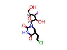 O=c1[nH]c(=O)n([C@H]2O[C@@H](CO)C(I)C2O)cc1C=CCl